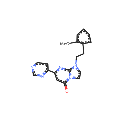 COc1ccccc1CCn1ccn2c(=O)cc(-c3ccncn3)nc12